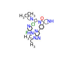 CC(C)n1cnc2cc(-c3ccc4c(c3)N([C@H]3C[C@@H](N5CCC(C)(C)C5)C3)C(=O)C43CCNCC3)nc(Nc3cc(Cl)ncc3F)c21